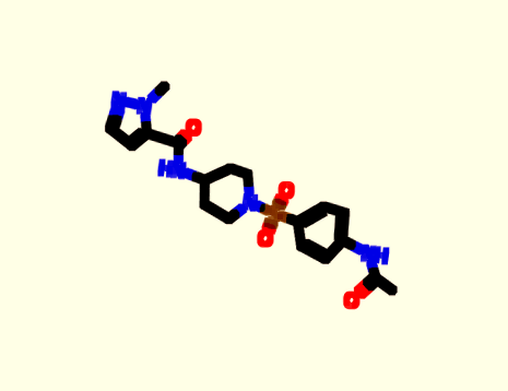 CC(=O)Nc1ccc(S(=O)(=O)N2CCC(NC(=O)c3ccnn3C)CC2)cc1